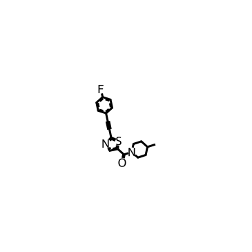 CC1CCN(C(=O)c2cnc(C#Cc3ccc(F)cc3)s2)CC1